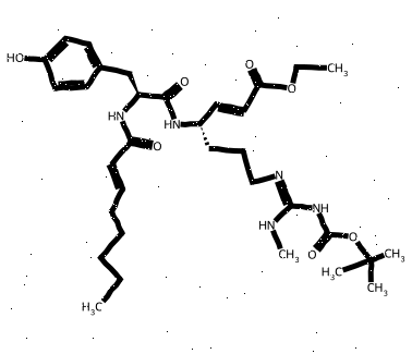 CCCCC/C=C/C(=O)N[C@@H](Cc1ccc(O)cc1)C(=O)N[C@H](/C=C/C(=O)OCC)CCC/N=C(\NC)NC(=O)OC(C)(C)C